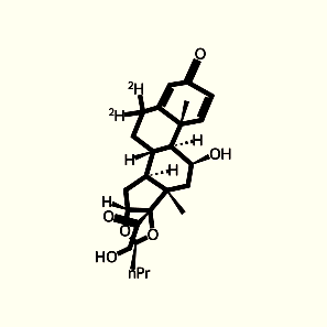 [2H]C1([2H])C[C@@H]2[C@H]([C@@H](O)C[C@@]3(C)[C@H]2C[C@H]2O[C@H](CCC)O[C@]23C(=O)CO)[C@@]2(C)C=CC(=O)C=C12